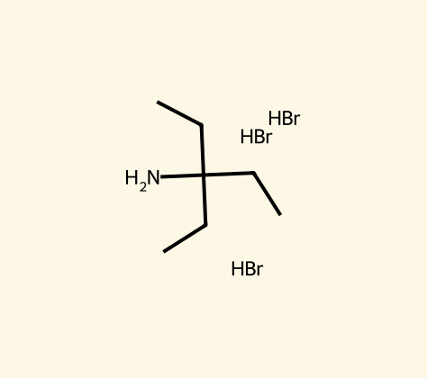 Br.Br.Br.CCC(N)(CC)CC